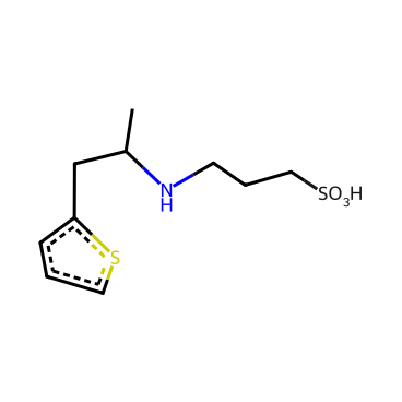 CC(Cc1cccs1)NCCCS(=O)(=O)O